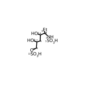 CC[C@@H](NS(=O)(=O)O)C(O)CC(O)COS(=O)(=O)O